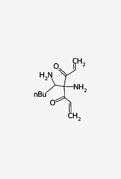 C=CC(=O)C(N)(C(=O)C=C)C(N)CCCC